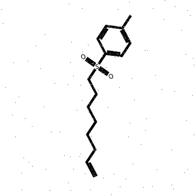 C=CCCCCCCS(=O)(=O)c1ccc(C)cc1